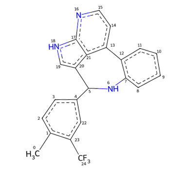 Cc1ccc(C2Nc3ccccc3-c3ccnc4[nH]cc2c34)cc1C(F)(F)F